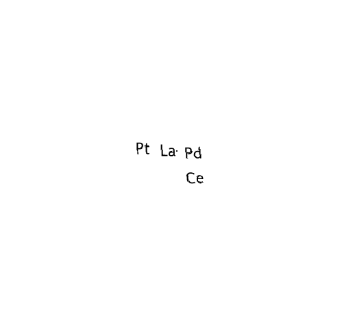 [Ce].[La].[Pd].[Pt]